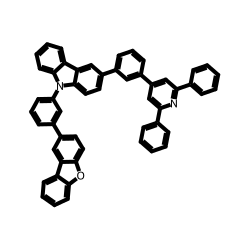 c1ccc(-c2cc(-c3cccc(-c4ccc5c(c4)c4ccccc4n5-c4cccc(-c5ccc6oc7ccccc7c6c5)c4)c3)cc(-c3ccccc3)n2)cc1